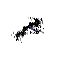 CCCC1CC(C(=O)NC(C(C)Cl)C2OC(SC)C(O)C(OC(=O)c3cc(=O)c4c(OCC(COc5cccc6oc(C(=O)OC7C(O)C(SC)OC(C(NC(=O)C8CC(CCC)CN8C)C(C)Cl)C7O)cc(=O)c56)OC(=O)/C=C(C)/C=C/C=C(C)/C=C/C5=C(C)CCCC5(C)C)cccc4o3)C2O)N(C)C1